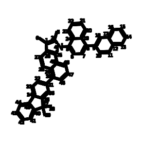 Cc1c(C)n(-c2ccc(-c3ccc4ccccc4c3)c3ccccc23)c2c1ccc1c(-c3ccc4c(c3)C(C)(C)c3ccccc3-4)cccc12